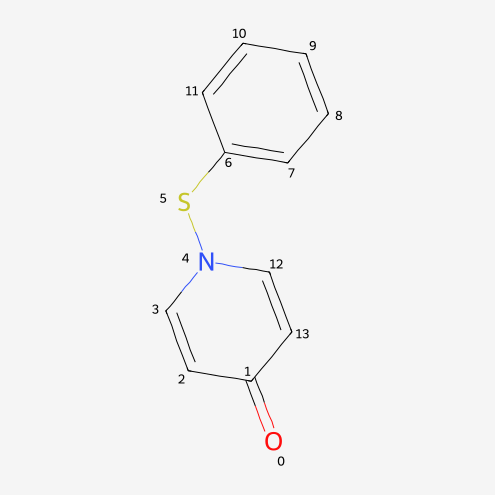 O=c1ccn(Sc2ccccc2)cc1